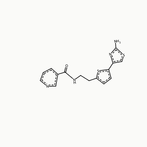 Nc1nc(-c2ccc(CCNC(=O)c3cccnc3)s2)cs1